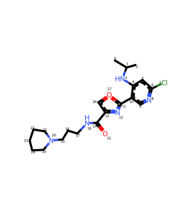 CC(C)Nc1cc(Cl)ncc1-c1nc(C(=O)NCCCN2CCCCC2)co1